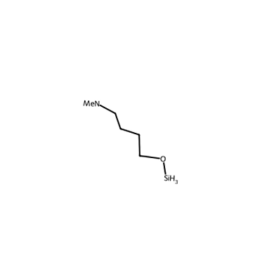 CNCCCCO[SiH3]